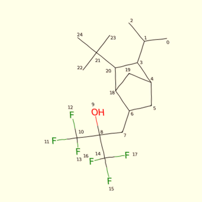 CC(C)C1C2CC(CC(O)(C(F)(F)F)C(F)(F)F)C(C2)C1C(C)(C)C